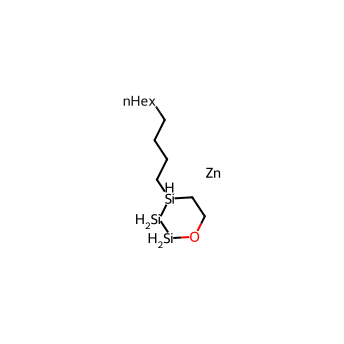 CCCCCCCCCC[SiH]1CCO[SiH2][SiH2]1.[Zn]